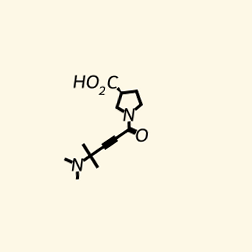 CN(C)C(C)(C)C#CC(=O)N1CC[C@H](C(=O)O)C1